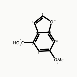 COc1cc(C(=O)O)c2ccoc2c1